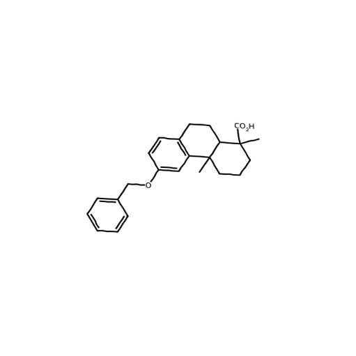 CC1(C(=O)O)CCCC2(C)c3cc(OCc4ccccc4)ccc3CCC12